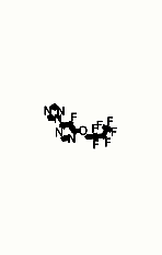 Fc1c(OCC(F)(F)C(F)C(F)(F)F)ncnc1-n1cncn1